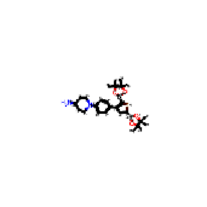 CC1(C)OB(c2cc(-c3ccc(N4CCC(N)CC4)cc3)c(B3OC(C)(C)C(C)(C)O3)s2)OC1(C)C